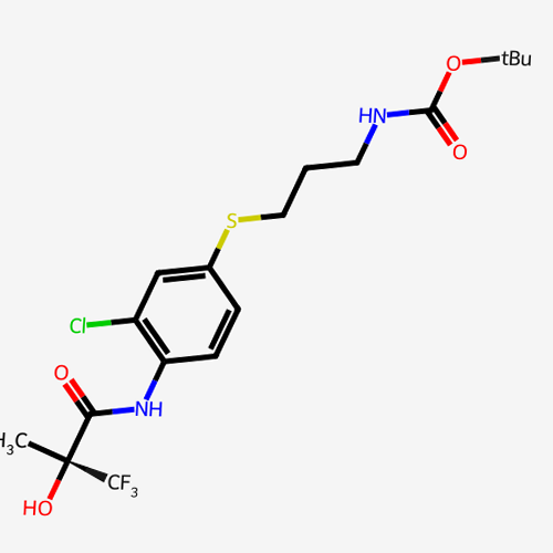 CC(C)(C)OC(=O)NCCCSc1ccc(NC(=O)[C@@](C)(O)C(F)(F)F)c(Cl)c1